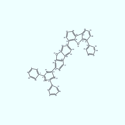 c1ccc(-c2nc(-c3ccccc3)nc(-c3ccc4c(c3)oc3cc(-c5cccc6c5oc5c(-c7ccccc7)cccc56)ccc34)n2)cc1